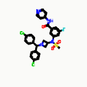 CS(=O)(=O)N(c1cc(F)cc(C(=O)Nc2ccncc2)c1)C1CN(C(c2ccc(Cl)cc2)c2ccc(Cl)cc2)C1